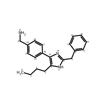 CCCCc1[nH]c(Cc2ccccc2)nc1-c1ccc(CN)cc1